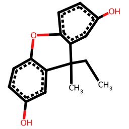 CCC1(C)c2cc(O)ccc2Oc2ccc(O)cc21